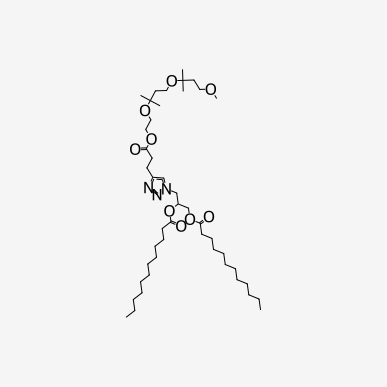 CCCCCCCCCCCC(=O)OCC(Cn1cc(CCC(=O)OCCOC(C)(C)CCOC(C)(C)CCOC)nn1)OC(=O)CCCCCCCCCCC